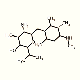 CNC1CC(N)[C@@H](C[C@H]2OC(C(C)C)[C@@H](O)[C@@H](C)[C@@H]2N)C(C)[C@@H]1C